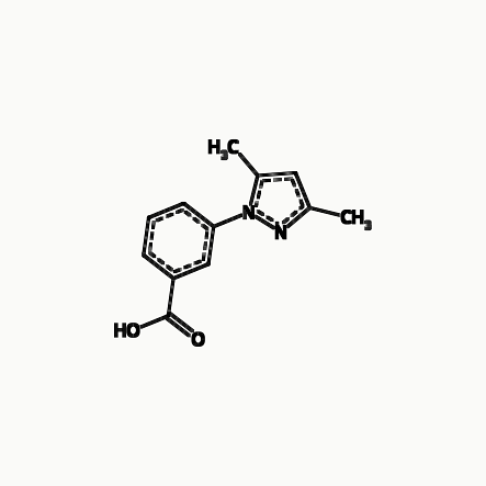 Cc1cc(C)n(-c2cccc(C(=O)O)c2)n1